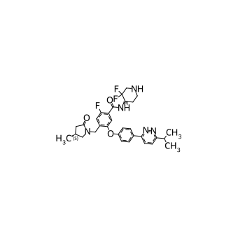 CC(C)c1ccc(-c2ccc(Oc3cc(C(=O)N[C@@H]4CCNCC4(F)F)c(F)cc3CN3C[C@@H](C)CC3=O)cc2)nn1